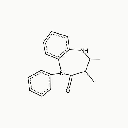 CC1Nc2ccccc2N(c2ccccc2)C(=O)C1C